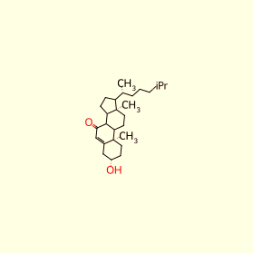 CC(C)CCC[C@@H](C)C1CCC2C3C(=O)C=C4C[C@@H](O)CC[C@]4(C)C3CC[C@@]21C